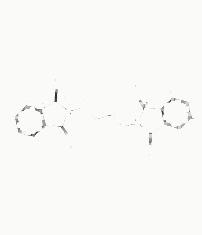 O=C1c2ccccc2C(=O)N1OCCON1C(=O)c2ccccc2C1=O